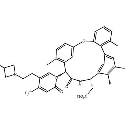 CCOC(=O)C[C@@H]1NC(=O)[C@@H](n2cc(CCN3CC(F)C3)c(C(F)(F)F)cc2=O)c2cc(ccc2C)Oc2cccc(C)c2-c2cc(C)c(F)c1c2